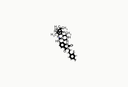 C[C@@H]1C(/N=C(/Nc2ccc3c(=O)n(CCc4ccc(F)cc4F)c(=O)[nH]c3c2)N2CCN[C@@H](C)C2)C[C@H]2C[C@@H]1C2(C)C